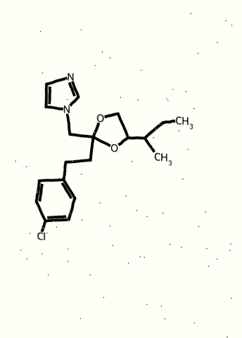 CCC(C)C1COC(CCc2ccc(Cl)cc2)(Cn2ccnc2)O1